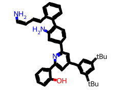 CC(C)(C)c1cc(-c2cc(-c3ccc(-c4ccccc4C=C/C=C\N)c(N)c3)nc(-c3ccccc3O)c2)cc(C(C)(C)C)c1